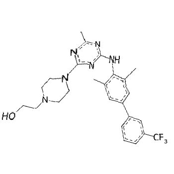 Cc1nc(Nc2c(C)cc(-c3cccc(C(F)(F)F)c3)cc2C)nc(N2CCN(CCO)CC2)n1